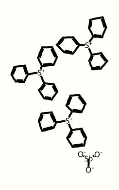 [O-][Sb]([O-])[O-].c1ccc([S+](c2ccccc2)c2ccccc2)cc1.c1ccc([S+](c2ccccc2)c2ccccc2)cc1.c1ccc([S+](c2ccccc2)c2ccccc2)cc1